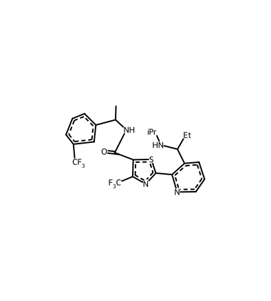 CCC(NC(C)C)c1cccnc1-c1nc(C(F)(F)F)c(C(=O)NC(C)c2cccc(C(F)(F)F)c2)s1